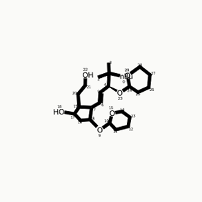 CCCCC(C)(C)[C@H](C=CC1C(OC2CCCCO2)CC(O)C1CCO)OC1CCCCO1